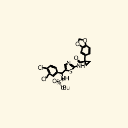 CC(C)(C)[S@@+]([O-])N[C@@H](c1ccc(Cl)c(Cl)c1)c1cnc(NC(=O)C2(c3ccc4c(c3)OCO4)CC2)s1